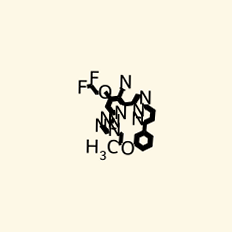 CC(Cn1cnnn1)Oc1cccc(-c2ccc3ncc(-c4nccc(OCC(F)F)c4C#N)n3n2)c1